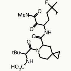 CNC(=O)C(=O)C(CCC(C)(F)F)NC(=O)C1CC2(CCN1C(=O)C(NC(=O)O)C(C)(C)C)CC2